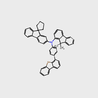 CC1(C)c2ccccc2-c2cccc(N(c3ccc(-c4cccc5c4sc4ccccc45)cc3)c3ccc4c(c3)C3(CCCC3)c3ccccc3-4)c21